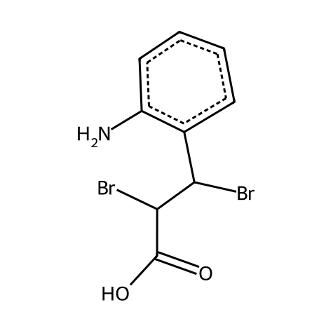 Nc1ccccc1C(Br)C(Br)C(=O)O